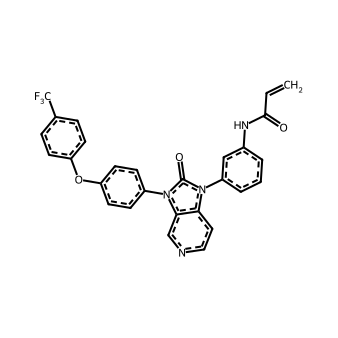 C=CC(=O)Nc1cccc(-n2c(=O)n(-c3ccc(Oc4ccc(C(F)(F)F)cc4)cc3)c3cnccc32)c1